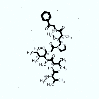 CC[C@H](C)C([C@@H](CC(=O)N1CCC[C@H]1[C@H](OC)[C@@H](C)C(=O)NCC(=O)c1ccccc1)OC)N(C)C(=O)[C@@H](NC(=O)[C@@H](NC)C(C)C)C(C)C